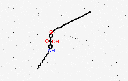 C#CC#CC#CC#CC#CC#CC#CC#CC#CC#CC#C[O+]=C1C=CC(=C2C(=O)C(c3ccc(NCCCCCCCCCCCCC)cc3)=C2O)C=C1